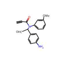 C#CC(=O)N(c1cccc(OC)c1)C(C=O)c1ccc(N)cc1